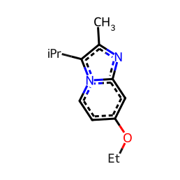 CCOc1ccn2c(C(C)C)c(C)nc2c1